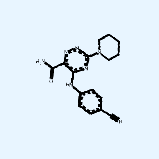 N#Cc1ccc(Nc2nc(N3CCCCC3)nnc2C(N)=O)cc1